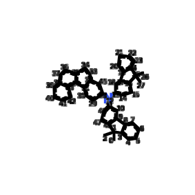 CC1(C)c2ccccc2-c2cc(N(c3ccc4c(c3)-c3ccccc3C4(C)C)c3ccc4c(ccc5ccc6ccccc6c54)c3)ccc21